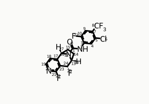 O=C(Nc1cc(Cl)c(C(F)(F)F)cc1F)N1[C@@H]2CC[C@H]1c1ccnc(F)c1[C@H]2F